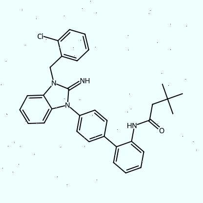 CC(C)(C)CC(=O)Nc1ccccc1-c1ccc(-n2c(=N)n(Cc3ccccc3Cl)c3ccccc32)cc1